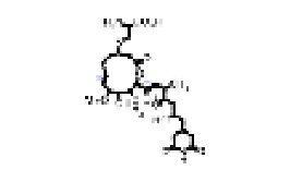 COC1/C=C/CCC(SCC(N)C(=O)O)CC(=O)OC(/C(C)=C/C(C)C(=O)CC(O)CC2CC(=O)NC(=O)C2)C(C)C1O